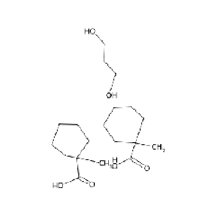 CC1(C(=O)O)CCCCC1.CC1(C(=O)O)CCCCC1.OCCCO